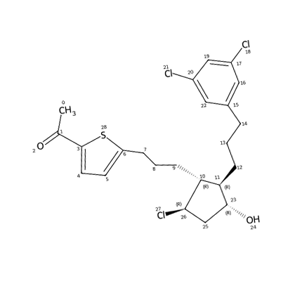 CC(=O)c1ccc(CCC[C@@H]2[C@@H](CCCc3cc(Cl)cc(Cl)c3)[C@H](O)C[C@H]2Cl)s1